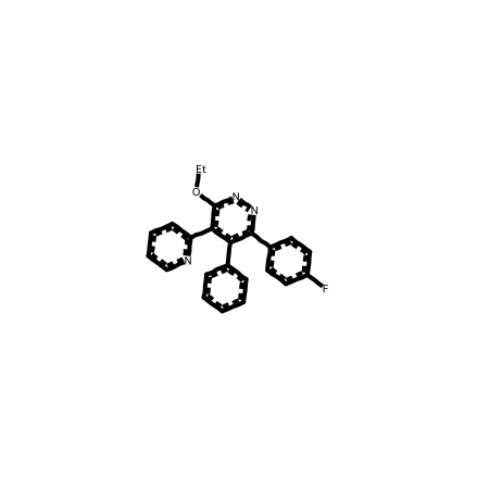 CCOc1nnc(-c2ccc(F)cc2)c(-c2ccccc2)c1-c1ccccn1